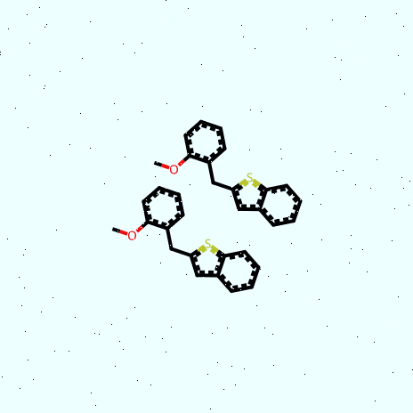 COc1ccccc1Cc1cc2ccccc2s1.COc1ccccc1Cc1cc2ccccc2s1